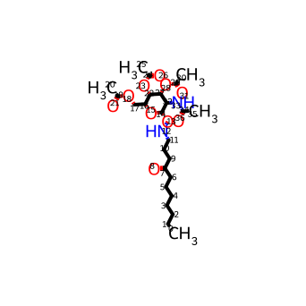 CCCCCCCC(=O)CCCNOC1OC(COC(C)=O)C(OC(C)=O)C(OC(C)=O)C1NC(C)=O